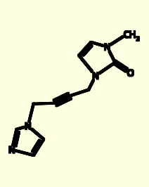 Cn1ccn(CC#CCn2ccnc2)c1=O